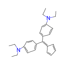 CCN(CC)c1ccc(C(=C2C=CC=C2)c2ccc(N(CC)CC)cc2)cc1